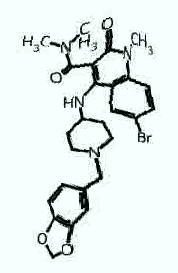 CN(C)C(=O)c1c(NC2CCN(Cc3ccc4c(c3)OCO4)CC2)c2cc(Br)ccc2n(C)c1=O